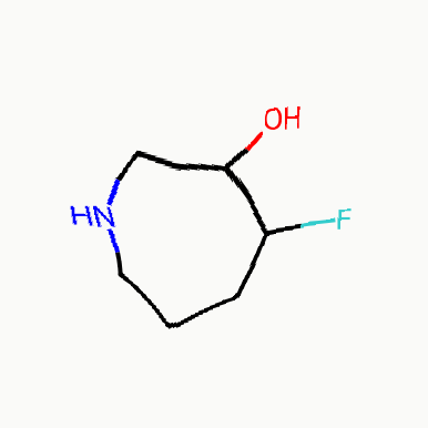 OC1CNCCCC1F